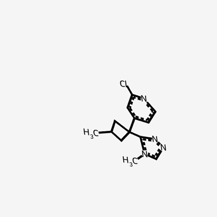 CC1CC(c2ccnc(Cl)c2)(c2nncn2C)C1